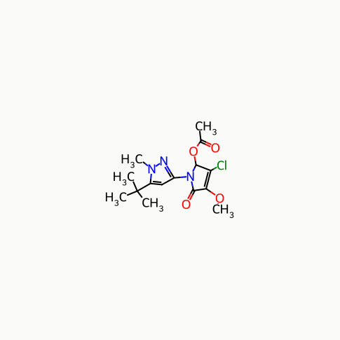 COC1=C(Cl)C(OC(C)=O)N(c2cc(C(C)(C)C)n(C)n2)C1=O